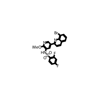 COc1ncc(-c2ccc3cccc(Br)c3n2)cc1NS(=O)(=O)c1ccc(F)cc1F